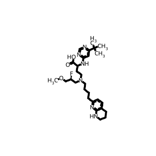 COC[C@@H](F)CN(CCCCc1ccc2c(n1)NCCC2)CCC(Nc1cc(C(C)(C)C)ncn1)C(=O)O